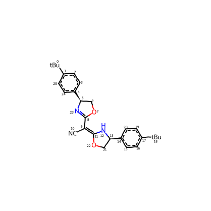 CC(C)(C)c1ccc([C@H]2COC(/C(C#N)=C3\N[C@@H](c4ccc(C(C)(C)C)cc4)CO3)=N2)cc1